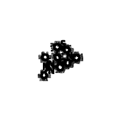 c1ccc(-c2nc(-c3ccccc3)nc(-c3cccc4oc5cc(-c6cccc7sc8ccc(-n9c%10ccccc%10c%10ccccc%109)cc8c67)ccc5c34)n2)cc1